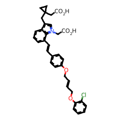 O=C(O)Cn1cc(CC2(CC(=O)O)CC2)c2cccc(C=Cc3ccc(OCC=CCOc4ccccc4Cl)cc3)c21